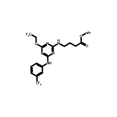 CCCOC(=O)CCCNc1nc(Nc2cccc(C(F)(F)F)c2)nc(OCC(F)(F)F)n1